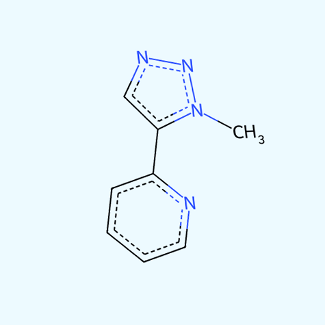 Cn1nncc1-c1ccccn1